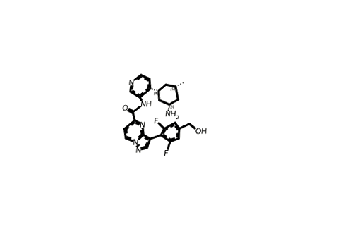 C[C@@H]1C[C@H](N)C[C@H](c2ccncc2NC(=O)c2ccn3ncc(-c4c(F)cc(CO)cc4F)c3n2)C1